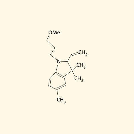 C=CC1N(CCCOC)c2ccc(C)cc2C1(C)C